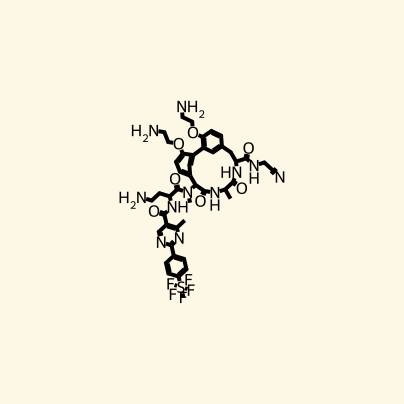 Cc1nc(-c2ccc(S(F)(F)(F)(F)F)cc2)ncc1C(=O)NC(CCN)C(=O)N(C)C1C(=O)NC(C)C(=O)NC(C(=O)NCC#N)Cc2ccc(OCCN)c(c2)-c2cc1ccc2OCCN